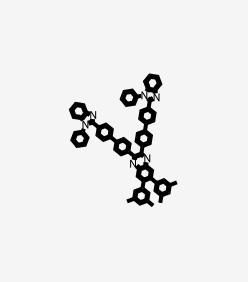 Cc1cc(C)cc(-c2cc3nc(-c4ccc(-c5ccc(-c6nc7ccccc7n6-c6ccccc6)cc5)cc4)c(-c4ccc(-c5ccc(-c6nc7ccccc7n6-c6ccccc6)cc5)cc4)nc3cc2-c2cc(C)cc(C)c2)c1